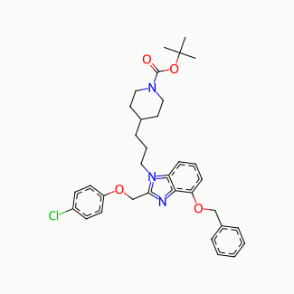 CC(C)(C)OC(=O)N1CCC(CCCn2c(COc3ccc(Cl)cc3)nc3c(OCc4ccccc4)cccc32)CC1